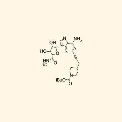 CCNC(=O)[C@H]1O[C@@H](n2cnc3c(N)nc(C#CCC4CCN(C(=O)OCC(C)C)CC4)nc32)[C@@H](O)[C@@H]1O